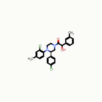 Cc1cccc(C(O)C(=O)N2CCN(c3ccc(C)cc3Cl)[C@H](c3ccc(Cl)cc3)C2)c1